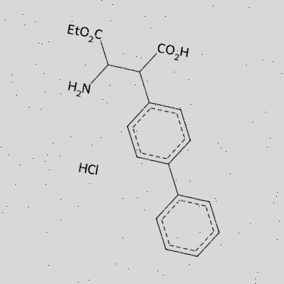 CCOC(=O)C(N)C(C(=O)O)c1ccc(-c2ccccc2)cc1.Cl